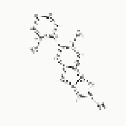 Cc1nc2c(s1)sc1cc(-c3cccc[n+]3C)c(C)cc12